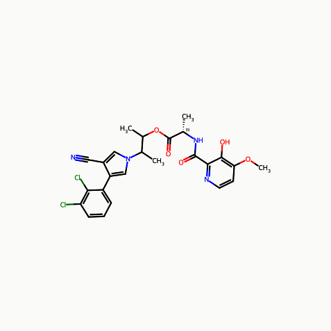 COc1ccnc(C(=O)N[C@@H](C)C(=O)OC(C)C(C)n2cc(C#N)c(-c3cccc(Cl)c3Cl)c2)c1O